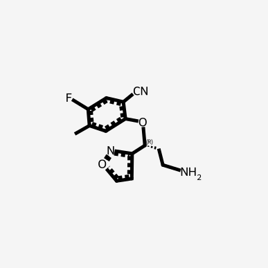 Cc1cc(O[C@H](CCN)c2ccon2)c(C#N)cc1F